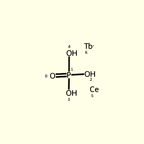 O=P(O)(O)O.[Ce].[Tb]